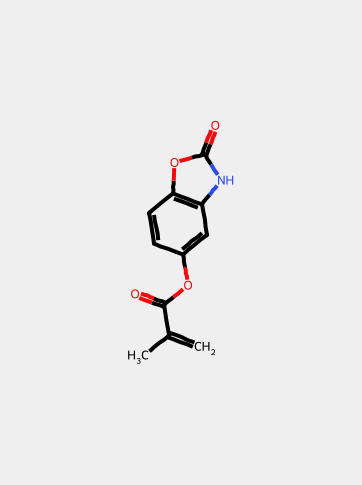 C=C(C)C(=O)Oc1ccc2oc(=O)[nH]c2c1